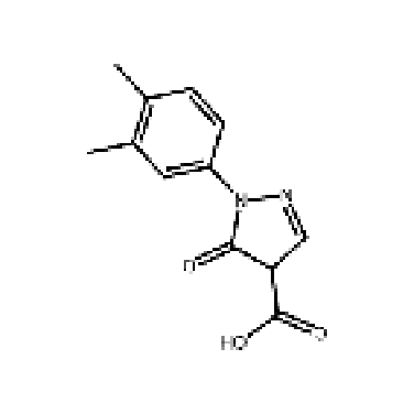 Cc1ccc(N2N=CC(C(=O)O)C2=O)cc1C